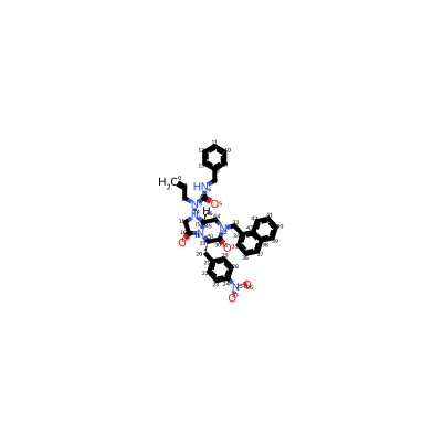 C=CCN(C(=O)NCc1ccccc1)N1CC(=O)N2[C@@H](Cc3ccc([N+](=O)[O-])cc3)C(=O)N(Cc3cccc4ccccc34)C[C@@H]21